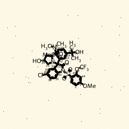 COc1ccc(S(=O)(=O)N2C(=O)C(c3cc(C(C)(C)O)ccc3OC)(N3C[C@H](O)C[C@H]3C(=O)N(C)C)c3cc(Cl)ccc32)c(OC(F)(F)F)c1